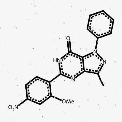 COc1cc([N+](=O)[O-])ccc1-c1nc2c(C)nn(-c3ccccc3)c2c(=O)[nH]1